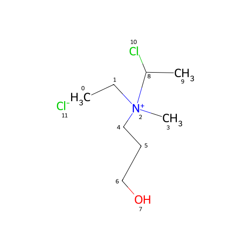 CC[N+](C)(CCCO)C(C)Cl.[Cl-]